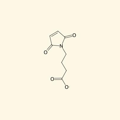 [O]C(=O)CCCN1C(=O)C=CC1=O